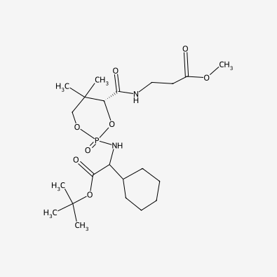 COC(=O)CCNC(=O)[C@@H]1OP(=O)(NC(C(=O)OC(C)(C)C)C2CCCCC2)OCC1(C)C